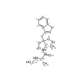 CCOC(Cc1csc2ccccc12)(OCC)[C@H](C)NC(=O)[C@H](C)NC(=O)O